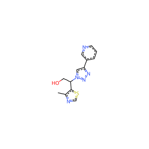 Cc1ncsc1C(CO)n1cc(-c2cccnc2)nn1